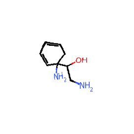 NCC(O)C1(N)C=CC=CC1